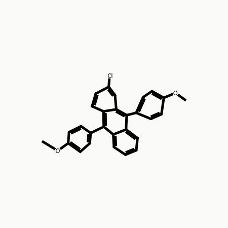 COc1ccc(-c2c3ccccc3c(-c3ccc(OC)cc3)c3cc(Cl)ccc23)cc1